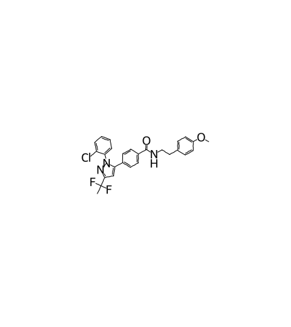 COc1ccc(CCNC(=O)c2ccc(-c3cc(C(C)(F)F)nn3-c3ccccc3Cl)cc2)cc1